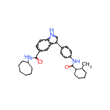 CC1CCCCC1C(=O)Nc1ccc(-c2c[nH]c3ccc(C(=O)NC4CCCCCC4)cc23)cc1